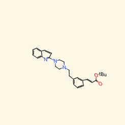 CC(C)(C)OC(=O)C=Cc1cccc(CCN2CCN(c3ccc4ccccc4n3)CC2)c1